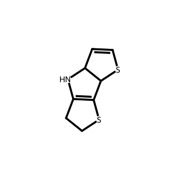 C1=CC2NC3=C(SCC3)C2S1